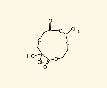 CC1CCCOC(=O)C(O)(O)CCCC(=O)O1